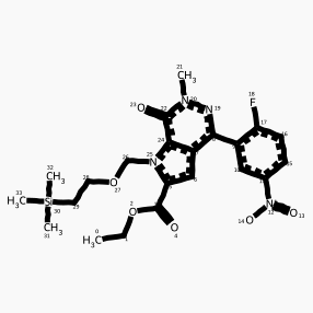 CCOC(=O)c1cc2c(-c3cc([N+](=O)[O-])ccc3F)nn(C)c(=O)c2n1COCC[Si](C)(C)C